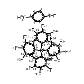 Cc1ccc([IH+])cc1.Fc1c(F)c(F)c([B-](c2c(F)c(F)c(F)c(F)c2F)(c2c(F)c(F)c(F)c(F)c2F)c2c(F)c(F)c(F)c(F)c2F)c(F)c1F